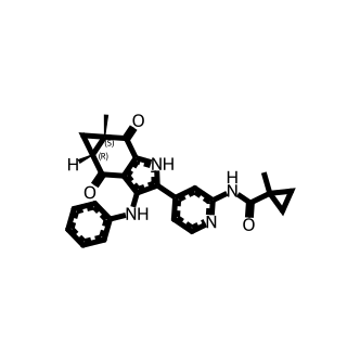 CC1(C(=O)Nc2cc(-c3[nH]c4c(c3Nc3ccccc3)C(=O)[C@@H]3C[C@]3(C)C4=O)ccn2)CC1